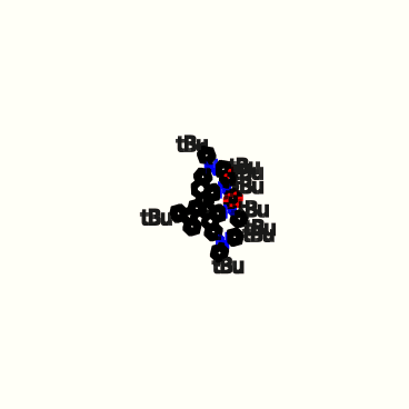 CC(C)(C)c1ccc(N(c2ccc(C(C)(C)C)cc2)c2ccc3c(c2)-c2cc(N(c4ccc(C(C)(C)C)cc4)c4ccc(C(C)(C)C)cc4)cc4c2C(CC3)c2cc3c5ccc(C(C)(C)C)cc5c5ccccc5c3c3c2B4c2cc(N(c4ccc(C(C)(C)C)cc4)c4ccc(C(C)(C)C)cc4)cc4c2C3Cc2ccc(N(c3ccc(C(C)(C)C)cc3)c3ccc(C(C)(C)C)cc3)cc2-4)cc1